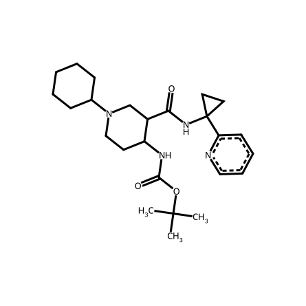 CC(C)(C)OC(=O)NC1CCN(C2CCCCC2)CC1C(=O)NC1(c2ccccn2)CC1